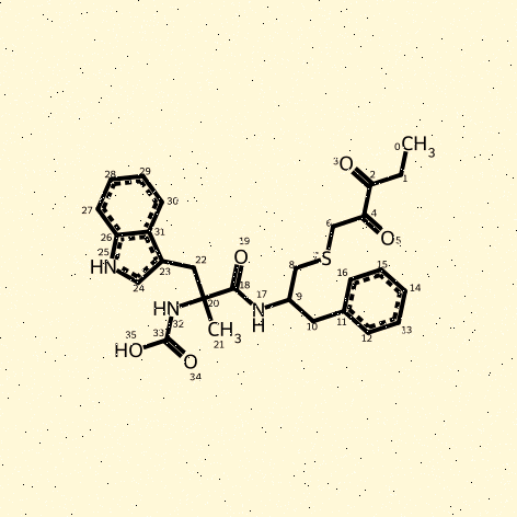 CCC(=O)C(=O)CSCC(Cc1ccccc1)NC(=O)C(C)(Cc1c[nH]c2ccccc12)NC(=O)O